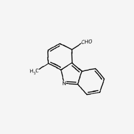 CC1=C2N=c3ccccc3=C2C(C=O)C=C1